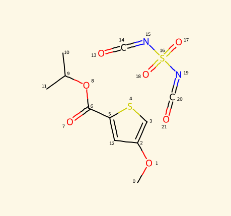 COc1csc(C(=O)OC(C)C)c1.O=C=NS(=O)(=O)N=C=O